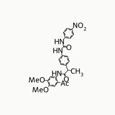 COc1cc(NC(=O)C(C)c2ccc(NC(=O)Nc3ccc([N+](=O)[O-])cc3)cc2)c(C(C)=O)cc1OC